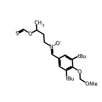 COCOc1c(C(C)(C)C)cc(C=[N+]([O-])CCC(C)OC=S)cc1C(C)(C)C